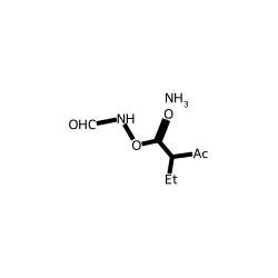 CCC(C(C)=O)C(=O)ONC=O.N